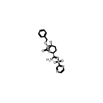 NC(=NS(=O)(=O)c1cnccn1)[C@@H]1CC[C@@H]2CN1C(=O)N2OCc1ccccc1